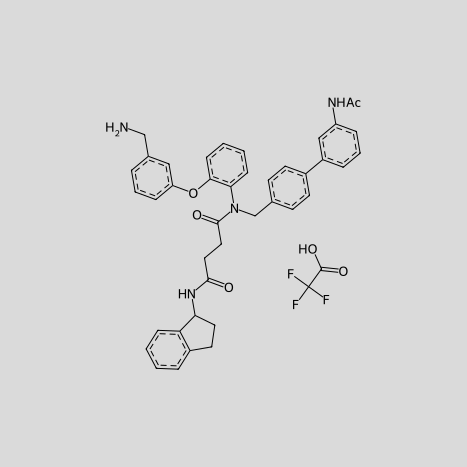 CC(=O)Nc1cccc(-c2ccc(CN(C(=O)CCC(=O)NC3CCc4ccccc43)c3ccccc3Oc3cccc(CN)c3)cc2)c1.O=C(O)C(F)(F)F